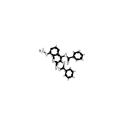 COc1cccc2c(OC(=O)c3ccccc3)c(OC(=O)c3ccccc3)c(=O)oc12